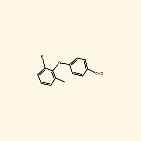 Cc1cccc(F)c1Oc1ccc(C=O)cc1